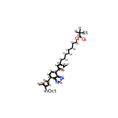 CCCCCCCCc1cc(-c2ccc(-c3cc(CCCCCCCCOC(=O)C(C)(C)CC)c(C)s3)c3nsnc23)sc1C